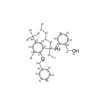 CCCCCC(CC)(Pc1ccccc1CO)c1cc(C(C)(C)C)cc(C)c1OCc1ccccc1